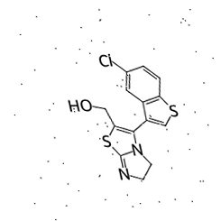 OCC1=C(c2csc3ccc(Cl)cc23)N2CCN=C2S1